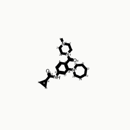 CN1CCN(C(=O)c2ccc(NC(=O)C3CC3)cc2N2CCCCCC2)CC1